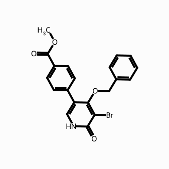 COC(=O)c1ccc(-c2c[nH]c(=O)c(Br)c2OCc2ccccc2)cc1